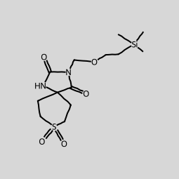 C[Si](C)(C)CCOCN1C(=O)NC2(CCS(=O)(=O)CC2)C1=O